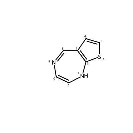 C1=CNc2sccc2C=N1